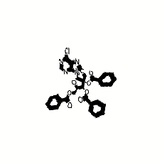 C=C[C@@]1(OC(=O)c2ccccc2)[C@H](OC(=O)c2ccccc2)[C@@H](COC(=O)c2ccccc2)O[C@H]1n1cnc2c(Cl)ncnc21